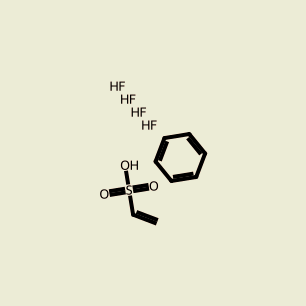 C=CS(=O)(=O)O.F.F.F.F.c1ccccc1